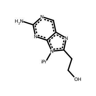 CC(C)n1c(CCO)nc2cnc(N)nc21